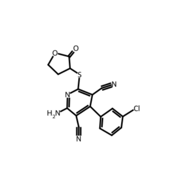 N#Cc1c(N)nc(SC2CCOC2=O)c(C#N)c1-c1cccc(Cl)c1